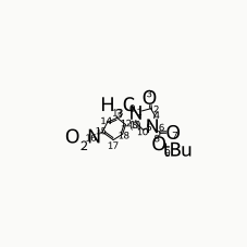 CN1C(=O)CN(C(=O)OC(C)(C)C)C[C@@H]1c1ccc([N+](=O)[O-])cc1